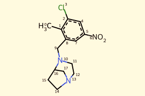 Cc1c(Cl)cc([N+](=O)[O-])cc1CN1CCN2CCC1C2